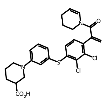 C=C(C(=O)N1C=CCCC1)c1ccc(Sc2cccc(N3CCCC(C(=O)O)C3)c2)c(Cl)c1Cl